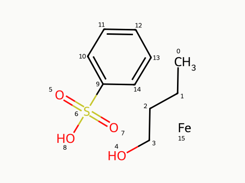 CCCCO.O=S(=O)(O)c1ccccc1.[Fe]